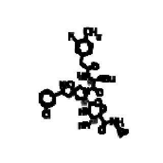 CCC[C@H](NC(=O)[C@@H]1C[C@]2(CC(c3cccc(Cl)c3)=NO2)CN1C(=O)[C@@H](NC(=O)Cc1ccc(C)c(F)c1)C(C)(C)C)C(=O)C(=O)NC1CC1